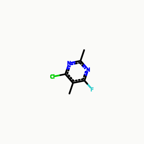 Cc1nc(F)c(C)c(Cl)n1